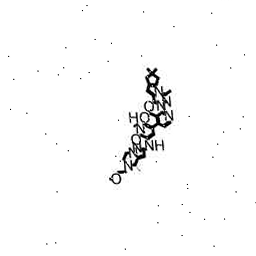 COCCN1CCn2nc(Nc3cc(-c4ccnc(-n5nc(C)n6c7c(cc6c5=O)CC(C)(C)C7)c4CO)cn(C)c3=O)cc2[C@@H]1C